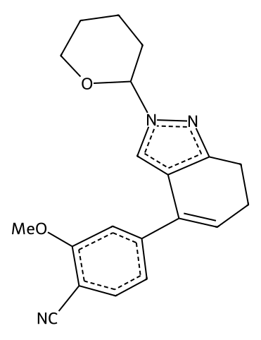 COc1cc(C2=CCCc3nn(C4CCCCO4)cc32)ccc1C#N